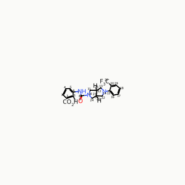 O=C(O)c1ccccc1NC(=O)N1C[C@@H]2CN(c3ccccc3C(F)(F)F)C[C@@H]2C1